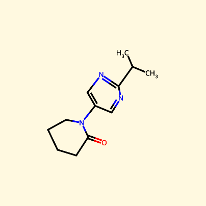 CC(C)c1ncc(N2CCCCC2=O)cn1